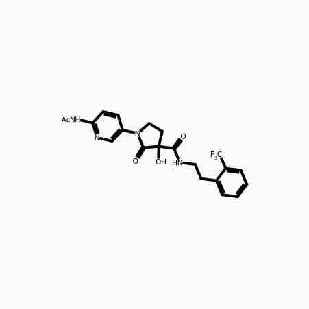 CC(=O)Nc1ccc(N2CCC(O)(C(=O)NCCc3ccccc3C(F)(F)F)C2=O)cn1